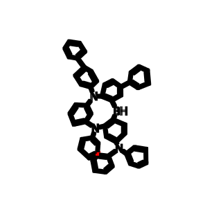 B1c2cc(-c3ccccc3)ccc2N(c2ccc(-c3ccccc3)cc2)c2cccc(c2)N(c2ccccc2)c2cc(N(c3ccccc3)c3ccccc3)ccc21